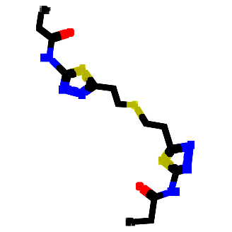 CC(C)CC(=O)Nc1nnc(CCSCCc2nnc(NC(=O)CC(C)C)s2)s1